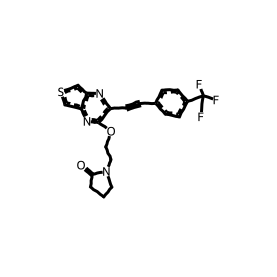 O=C1CCCN1CCOc1nc2cscc2nc1C#Cc1ccc(C(F)(F)F)cc1